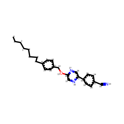 CCCCCCCCc1ccc(COc2cnc(-c3ccc(C#N)cc3)cn2)cc1